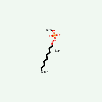 CCCCCCCCCCCCCCCCCCOOP(=O)([O-])OCCC.[Na+]